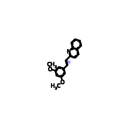 COc1cc(/C=C/c2ccc3ccccc3n2)cc(OC)c1